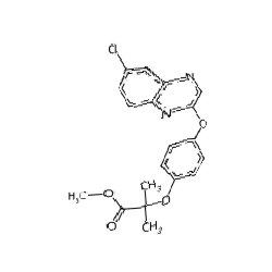 COC(=O)C(C)(C)Oc1ccc(Oc2cnc3cc(Cl)ccc3n2)cc1